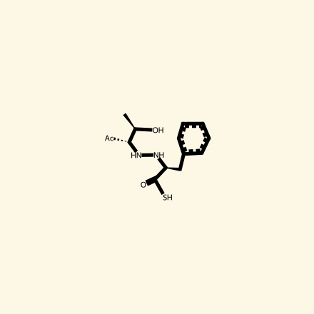 CC(=O)[C@@H](NN[C@@H](Cc1ccccc1)C(=O)S)[C@@H](C)O